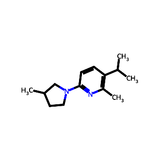 Cc1nc(N2CCC(C)C2)ccc1C(C)C